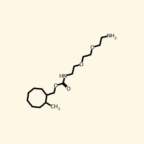 CC1CCCCCCC1COC(=O)NCCOCCOCCN